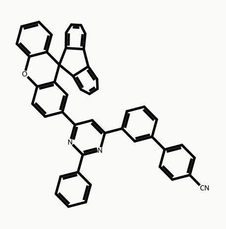 N#Cc1ccc(-c2cccc(-c3cc(-c4ccc5c(c4)C4(c6ccccc6O5)c5ccccc5-c5ccccc54)nc(-c4ccccc4)n3)c2)cc1